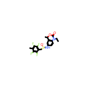 CCN1C(=O)OC(C)c2cc(N[S+]([O-])Cc3c(F)c(F)c(C)c(F)c3F)ccc21